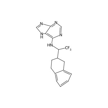 FC(F)(F)C(Nc1ncnc2nc[nH]c12)C1CCc2ccccc2C1